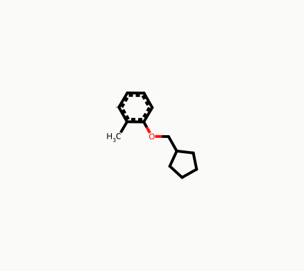 Cc1[c]cccc1OCC1CCCC1